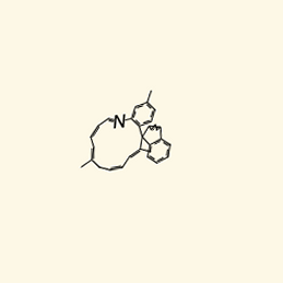 C\C1=C/C=C\C=N\c2cc(C)ccc2C2(/C(C)=C/C=C\C1)c1ccccc1C1=CC=CC12